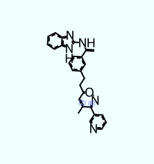 C=C(Nc1nc2ccccc2[nH]1)c1cccc(CCC(=O)/C=C(C)\C(=N/C)c2cccnc2)c1